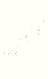 CCSC(NC(N)=O)C(=O)OCCNC(=O)NCCOC(=O)C(NC(N)=O)SCC